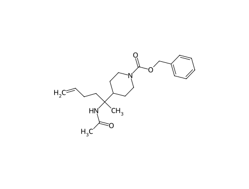 C=CCCC(C)(NC(C)=O)C1CCN(C(=O)OCc2ccccc2)CC1